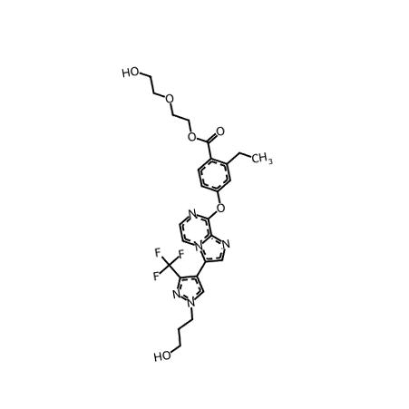 CCc1cc(Oc2nccn3c(-c4cn(CCCO)nc4C(F)(F)F)cnc23)ccc1C(=O)OCCOCCO